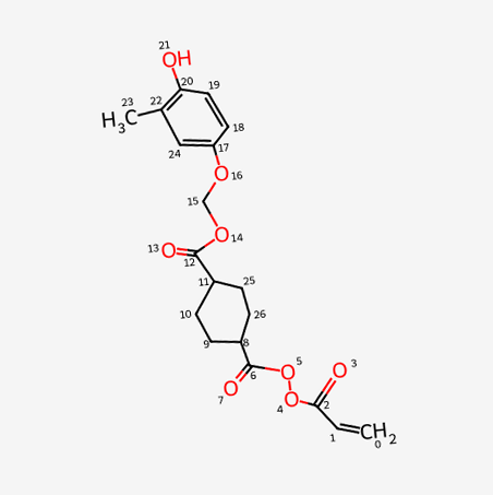 C=CC(=O)OOC(=O)C1CCC(C(=O)OCOc2ccc(O)c(C)c2)CC1